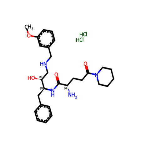 COc1cccc(CNC[C@@H](O)[C@H](Cc2ccccc2)NC(=O)[C@@H](N)CCC(=O)N2CCCCC2)c1.Cl.Cl